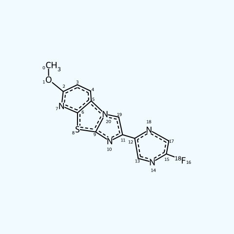 COc1ccc2c(n1)sc1nc(-c3cnc([18F])cn3)cn12